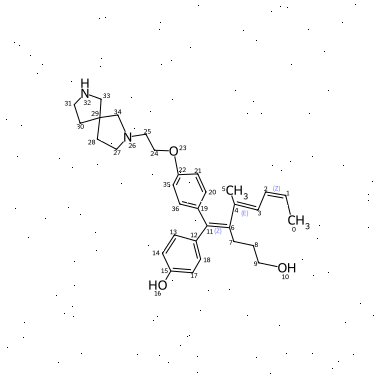 C\C=C/C=C(C)/C(CCCO)=C(/c1ccc(O)cc1)c1ccc(OCCN2CCC3(CCNC3)C2)cc1